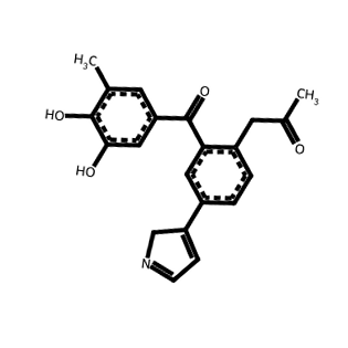 CC(=O)Cc1ccc(C2=CC=NC2)cc1C(=O)c1cc(C)c(O)c(O)c1